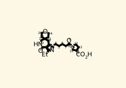 CCc1nn(CCCCC(=O)N2CCC(C(=O)O)C2)c2c1C(=O)NCC1(CCOCC1)C2